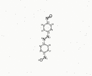 O=Nc1ccc(N=Nc2ccc(N=O)cc2)cc1